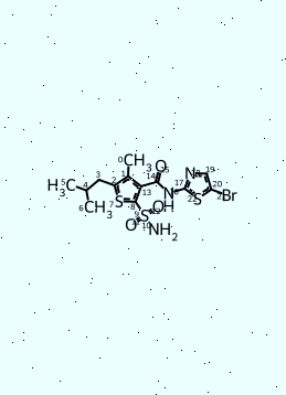 Cc1c(CC(C)C)sc(S(N)(=O)=O)c1C(=O)Nc1ncc(Br)s1